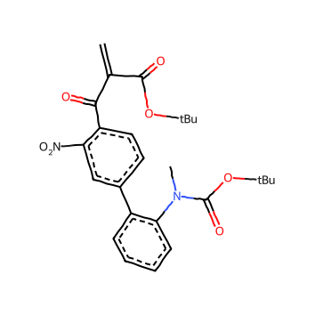 C=C(C(=O)OC(C)(C)C)C(=O)c1ccc(-c2ccccc2N(C)C(=O)OC(C)(C)C)cc1[N+](=O)[O-]